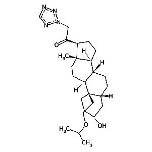 CC(C)OCC[C@]12CC[C@@H](O)C[C@H]1CC[C@H]1[C@@H]3CC[C@H](C(=O)Cn4ncnn4)[C@@]3(C)CC[C@@H]12